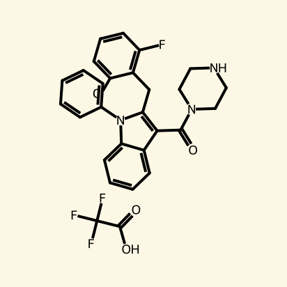 O=C(O)C(F)(F)F.O=C(c1c(Cc2c(F)cccc2Cl)n(-c2ccccc2)c2ccccc12)N1CCNCC1